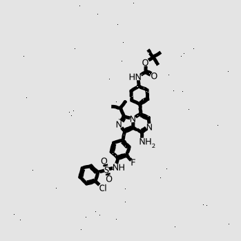 CC(C)c1nc(-c2ccc(NS(=O)(=O)c3ccccc3Cl)c(F)c2)c2c(N)ncc(C3=CCC(NC(=O)OC(C)(C)C)CC3)n12